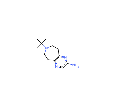 CC(C)(C)N1CCc2ncc(N)nc2CC1